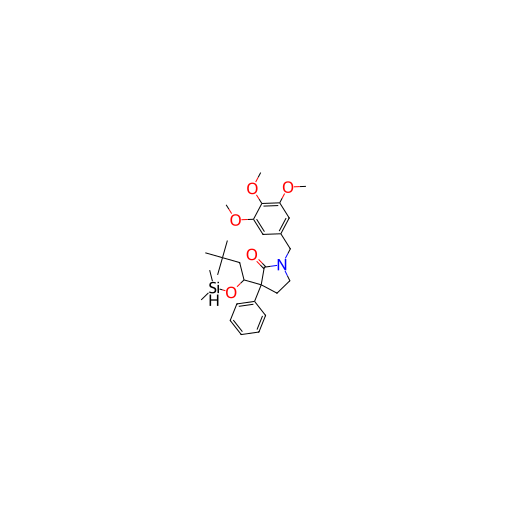 COc1cc(CN2CCC(c3ccccc3)(C(CC(C)(C)C)O[SiH](C)C)C2=O)cc(OC)c1OC